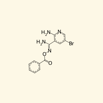 N/C(=N\OC(=O)c1ccccc1)c1cc(Br)cnc1N